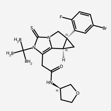 BC(B)(B)n1c(CC(=O)N[C@@H]2CCOC2)c2n(c1=S)C[C@@]1(c3cc(Br)ccc3F)C[C@@H]21